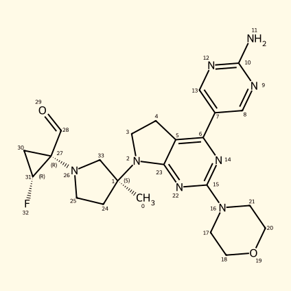 C[C@]1(N2CCc3c(-c4cnc(N)nc4)nc(N4CCOCC4)nc32)CCN([C@@]2(C=O)C[C@H]2F)C1